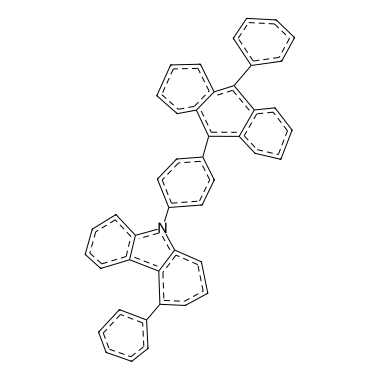 c1ccc(-c2c3ccccc3c(-c3ccc(-n4c5ccccc5c5c(-c6ccccc6)cccc54)cc3)c3ccccc23)cc1